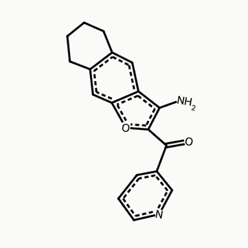 Nc1c(C(=O)c2cccnc2)oc2cc3c(cc12)CCCC3